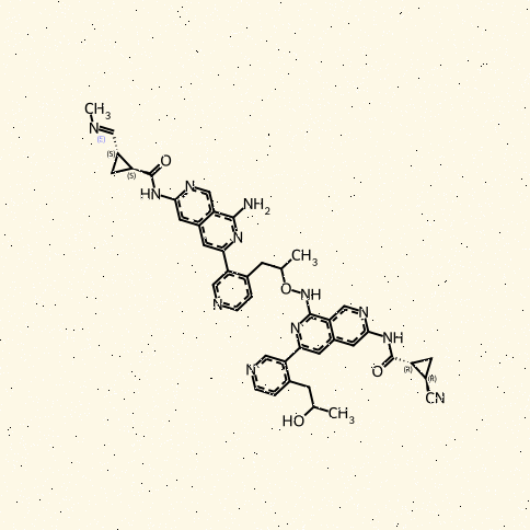 C/N=C/[C@H]1C[C@@H]1C(=O)Nc1cc2cc(-c3cnccc3CC(C)ONc3nc(-c4cnccc4CC(C)O)cc4cc(NC(=O)[C@@H]5C[C@H]5C#N)ncc34)nc(N)c2cn1